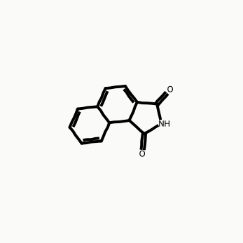 O=C1NC(=O)C2C1=CC=C1C=CC=CC12